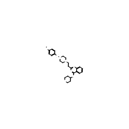 COc1ccc(S(=O)(=O)N2CCN(CCc3nc(OC4CCOCC4)c4ccccc4n3)CC2)cc1